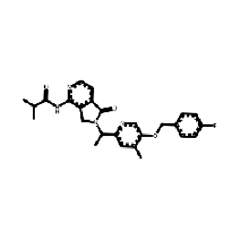 Cc1cc(C(C)N2Cc3c(ccnc3NC(=O)C(C)C)C2=O)ncc1OCc1ccc(F)cc1